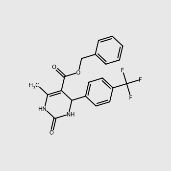 CC1=C(C(=O)OCc2ccccc2)C(c2ccc(C(F)(F)F)cc2)NC(=O)N1